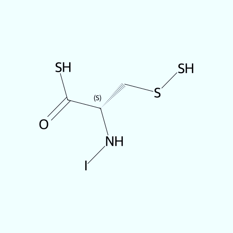 O=C(S)[C@H](CSS)NI